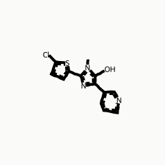 Cn1c(-c2ccc(Cl)s2)nc(-c2cccnc2)c1O